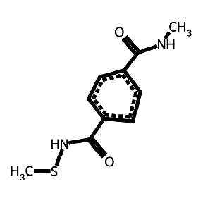 CNC(=O)c1ccc(C(=O)NSC)cc1